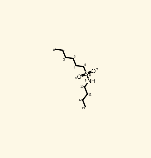 CCCCCCS(=O)(=O)NCCCC